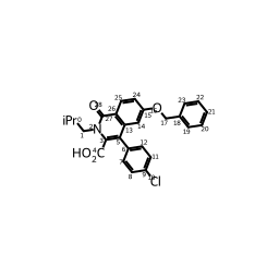 CC(C)Cn1c(C(=O)O)c(-c2ccc(Cl)cc2)c2cc(OCc3ccccc3)ccc2c1=O